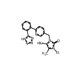 CCCCc1c(C)n(CC)c(=O)n1Cc1ccc(-c2ccccc2-c2nnn[nH]2)nc1